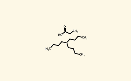 CCC(=O)O.CCCCN(CCCC)CCCC